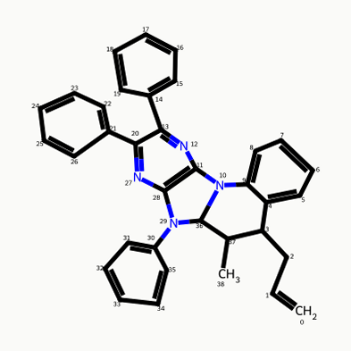 C=CCC1c2ccccc2N2c3nc(-c4ccccc4)c(-c4ccccc4)nc3N(c3ccccc3)C2C1C